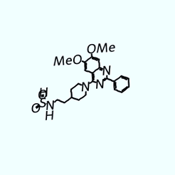 COc1cc2nc(-c3ccccc3)nc(N3CCC(CCN[SH](=O)=O)CC3)c2cc1OC